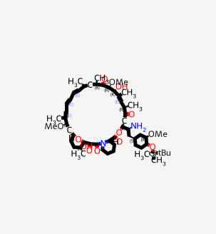 CO[C@H]1C[C@@H]2CC[C@@H](C)[C@@](O)(O2)C(=O)C(=O)N2CCCC[C@H]2C(=O)O[C@H]([C@H](N)C[C@@H]2CCC(O[Si](C)(C)C(C)(C)C)[C@H](OC)C2)CC(=O)[C@H](C)/C=C(\C)[C@@H](O)[C@@H](OC)C(=O)[C@H](C)C[C@H](C)/C=C/C=C/C=C/1C